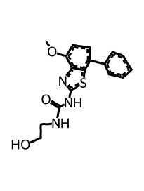 COc1ccc(-c2ccccc2)c2sc(NC(=O)NCCO)nc12